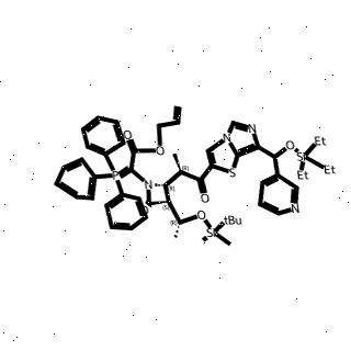 C=CCOC(=O)C(N1C(=O)[C@H]([C@@H](C)O[Si](C)(C)C(C)(C)C)[C@H]1[C@@H](C)C(=O)c1cn2cnc(C(O[Si](CC)(CC)CC)c3cccnc3)c2s1)=P(c1ccccc1)(c1ccccc1)c1ccccc1